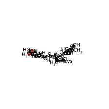 COC(C)(C)CCOC(C)(C)CC(=O)N[C@@H](CCC(=O)NCC(=O)N/N=C1\C=C[C@@]2(C)C(=C1)CCC1[C@@H]3C[C@@H](C)[C@](O)(C(=O)CO)[C@@]3(C)CC[C@@]12F)C(=O)NCC(=O)N/N=C1\C=C[C@@]2(C)C(=C1)CC[C@@H]1C2[C@@H](O)C[C@@]2(C)C1C[C@@H](C)[C@@H]2C(=O)CO